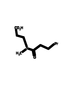 CC(C)CCC(=O)N(C)CCC(=O)O